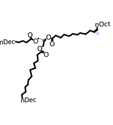 CCCCCCCC/C=C\CCCCCCCCCC(=O)O[C@@H](COC(=O)CCCCCCCCCCCCC)COC(=O)CCCCCCCCCCCCCCCCCCCCC